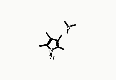 CN(C)C.Cc1c(C)c(C)[n]([Zr])c1C